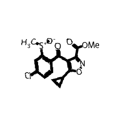 COC(=O)c1noc(C2CC2)c1C(=O)c1ccc(Cl)cc1[S+](C)[O-]